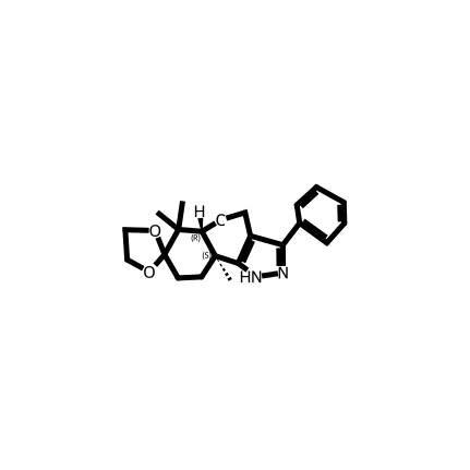 CC1(C)[C@@H]2CCc3c(-c4ccccc4)n[nH]c3[C@@]2(C)CCC12OCCO2